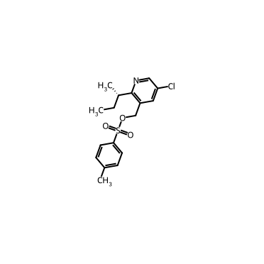 CC[C@H](C)c1ncc(Cl)cc1COS(=O)(=O)c1ccc(C)cc1